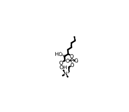 CCCCCC(OP(=O)([O-])OCC[N+](C)(C)C)[C@@H](O)COO